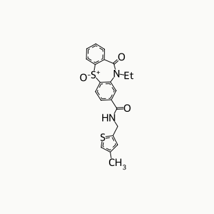 CCN1C(=O)c2ccccc2[S+]([O-])c2ccc(C(=O)NCc3cc(C)cs3)cc21